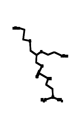 CCCCCCCCCCCCSCC(COC(=O)NCCN(C)C)SCCCCCCCCCCCC